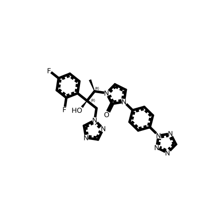 C[C@@H](n1ccn(-c2ccc(-n3ncnn3)cc2)c1=O)[C@](O)(Cn1cncn1)c1ccc(F)cc1F